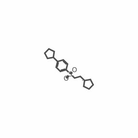 O=S(=O)(CC[C]1CCCC1)c1ccc(C2CCCC2)cc1